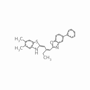 CC/C(C=C1Nc2cc(C)c(C)cc2S1)=C/c1nc2cc(-c3ccccc3)ccc2o1